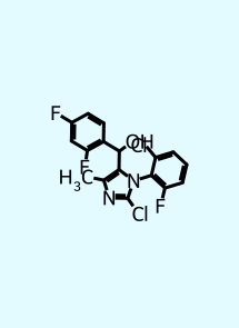 Cc1nc(Cl)n(-c2c(F)cccc2Cl)c1C(O)c1ccc(F)cc1F